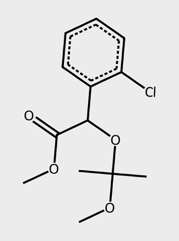 COC(=O)C(OC(C)(C)OC)c1ccccc1Cl